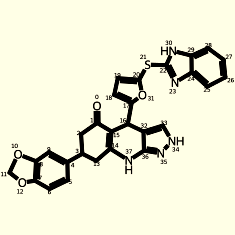 O=C1CC(c2ccc3c(c2)OCO3)CC2=C1C(c1ccc(Sc3nc4ccccc4[nH]3)o1)c1c[nH]nc1N2